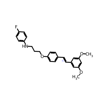 COc1cc(/C=C/c2ccc(OCCCNc3ccc(F)cc3)cc2)cc(OC)c1